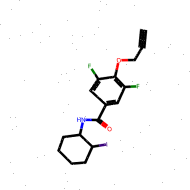 C#CCOc1c(F)cc(C(=O)NC2CCCCC2I)cc1F